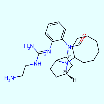 NCCN/C(N)=N/c1ccccc1N(C=O)[C@@H]1C[C@@H]2CCC1N2C1CCCCCCC1